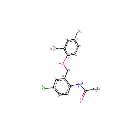 CNC(=O)Nc1ccc(Cl)cc1COc1ccc(C)cc1C